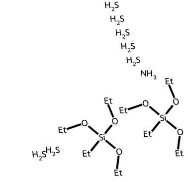 CCO[Si](CC)(OCC)OCC.CCO[Si](CC)(OCC)OCC.N.S.S.S.S.S.S.S